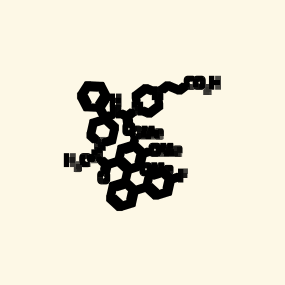 COc1cc(C(=O)N(C)N2CCC(NC(=O)N3CCN(CCC(=O)O)CC3)(c3ccccc3)CC2)c(-c2ccccc2-c2ccc(F)cc2)c(OC)c1OC